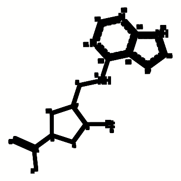 C=C(C)C1CC(CC)C(CNc2ncnc3[nH]ccc23)C1